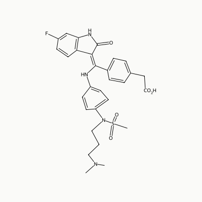 CN(C)CCCN(c1ccc(NC(=C2C(=O)Nc3cc(F)ccc32)c2ccc(CC(=O)O)cc2)cc1)S(C)(=O)=O